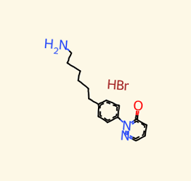 Br.NCCCCCCc1ccc(-n2ncccc2=O)cc1